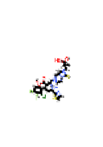 COC(=O)C1=C(CN2CCN3C(=S)N(CC(C)(C)C(=O)O)C[C@@H]3C2)NC(c2nccs2)=C[C@H]1c1ccc(F)c(F)c1Cl